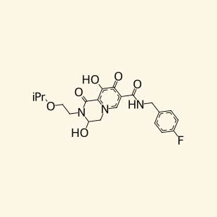 CC(C)OCCN1C(=O)c2c(O)c(=O)c(C(=O)NCc3ccc(F)cc3)cn2CC1O